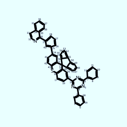 c1ccc(-c2nc(-c3ccccc3)nc(-c3ccc4c(c3)C3(c5cc(-c6cccc(-c7nccc8ccccc78)c6)ccc5S4)c4ccccc4-c4ccccc43)n2)cc1